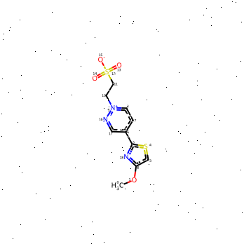 COc1csc(-c2cc[n+](CCS(=O)(=O)[O-])nc2)n1